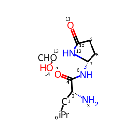 CC(C)C[C@@H](N)C(=O)N[C@H]1CCC(=O)N1.O=CO